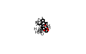 CNC(=O)Nc1ccccc1/C1=C\[C@H]2CC[C@H](C)[C@@H](O1)C1CC([C@@]2(C)N)[C@@](O)(C[C@@H](C)OC)[C@]2(O)C(C[C@H](C)[C@@H]2OC)C1C